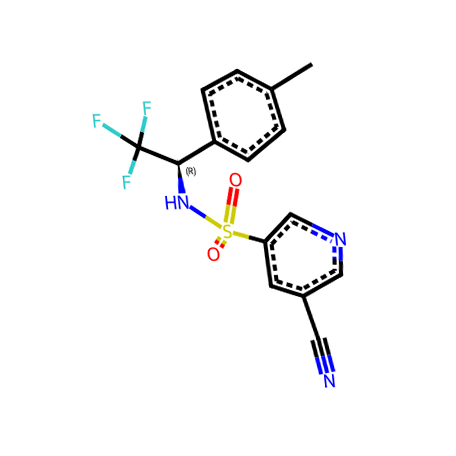 Cc1ccc([C@@H](NS(=O)(=O)c2cncc(C#N)c2)C(F)(F)F)cc1